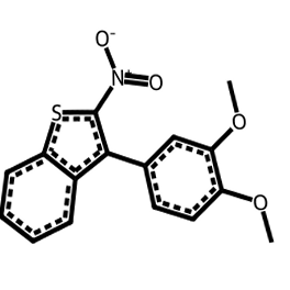 COc1ccc(-c2c([N+](=O)[O-])sc3ccccc23)cc1OC